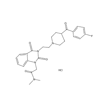 CN(C)C(=O)Cn1c(=O)n(CCN2CCC(C(=O)c3ccc(F)cc3)CC2)c(=O)c2ccccc21.Cl